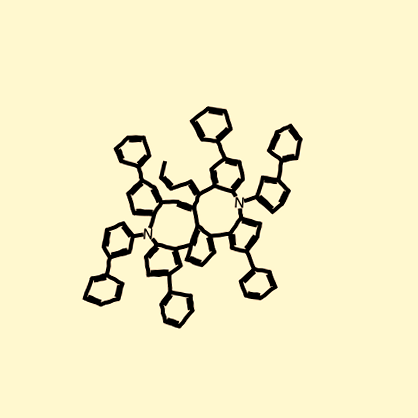 C/C=C\C=c1/c2cc3cc(-c4ccccc4)ccc3n(-c3cccc(-c4ccccc4)c3)c3ccc(-c4ccccc4)cc3c3cccc(c4cc(-c5ccccc5)ccc4n(-c4cccc(-c5ccccc5)c4)c4ccc(-c5ccccc5)cc14)c23